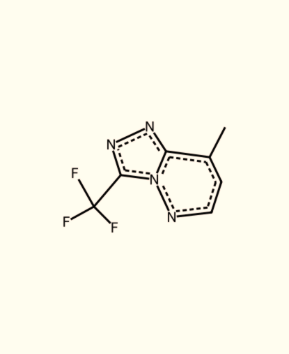 Cc1ccnn2c(C(F)(F)F)nnc12